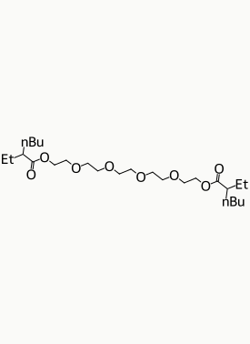 CCCCC(CC)C(=O)OCCOCCOCCOCCOCCOC(=O)C(CC)CCCC